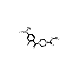 CC(C)(C)OC(=O)N1CCN(C(=O)c2ccc(B(O)O)cc2F)CC1